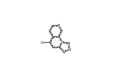 Clc1cc2nnnn2c2cnccc12